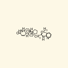 Cc1cccnc1NC(=O)C[C@H]1CC[C@H]2[C@@H]3CC[C@H]4NC(=O)C=C[C@]4(C)[C@H]3CC[C@]12C